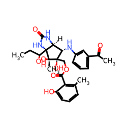 CC[C@H](O)[C@]12NC(=O)N[C@H]1[C@H](Nc1cccc(C(C)=O)c1)[C@](O)(COC(=O)c1c(C)cccc1O)[C@]2(C)O